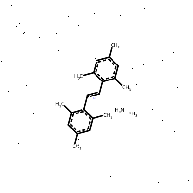 Cc1cc(C)c(/C=C/c2c(C)cc(C)cc2C)c(C)c1.N.N